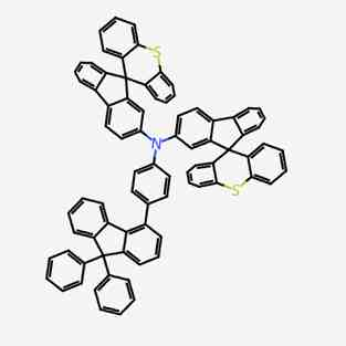 c1ccc(C2(c3ccccc3)c3ccccc3-c3c(-c4ccc(N(c5ccc6c(c5)C5(c7ccccc7Sc7ccccc75)c5ccccc5-6)c5ccc6c(c5)C5(c7ccccc7Sc7ccccc75)c5ccccc5-6)cc4)cccc32)cc1